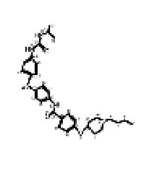 CCCCN1CCC(Oc2ccc(C(=O)Nc3ccc(Sc4ccc(NC(=O)NC(C)C)cc4)cc3)cc2)CC1